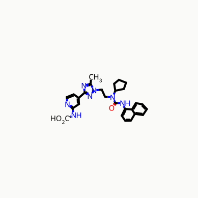 Cc1nc(-c2ccnc(NC(=O)O)c2)nn1CCN(C(=O)Nc1cccc2ccccc12)C1CCCC1